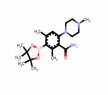 Cc1cc(N2CCN(C)CC2)c(C(N)=O)c(C)c1B1OC(C)(C)C(C)(C)O1